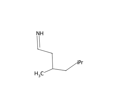 [CH2]C(C)CC(C)CC=N